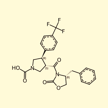 O=C(O)N1C[C@@H](C(=O)N2C(=O)OC[C@H]2Cc2ccccc2)[C@H](c2ccc(C(F)(F)F)cc2)C1